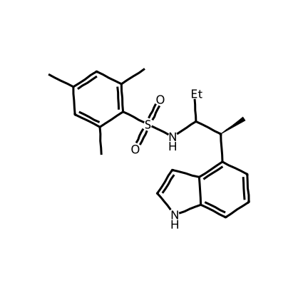 CCC(NS(=O)(=O)c1c(C)cc(C)cc1C)[C@@H](C)c1cccc2[nH]ccc12